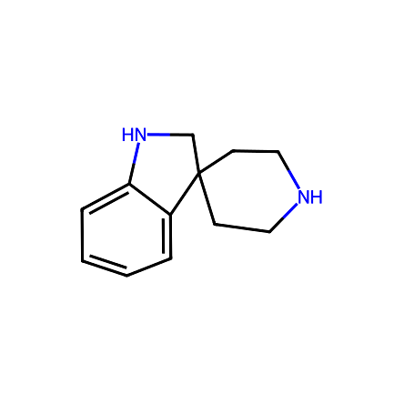 c1ccc2c(c1)NCC21CCNCC1